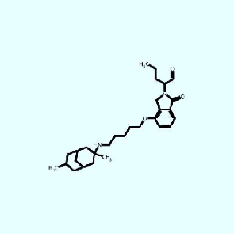 CCCC(C=O)N1Cc2c(OCCCCCNC3(C)CC4CC(C)CC(C4)C3)cccc2C1=O